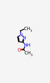 CCn1ccc(NC(C)=O)n1